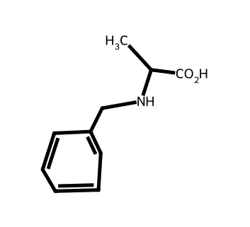 CC(NCc1ccccc1)C(=O)O